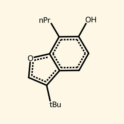 CCCc1c(O)ccc2c(C(C)(C)C)coc12